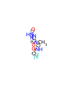 Cc1ccc(NC(=O)c2cccc(C(F)(F)F)c2)cc1N1Cc2cnc(NC3CCOCC3)nc2C2(CC2)C1=O